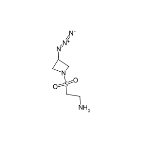 [N-]=[N+]=NC1CN(S(=O)(=O)CCN)C1